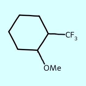 CO[C]1CCCCC1C(F)(F)F